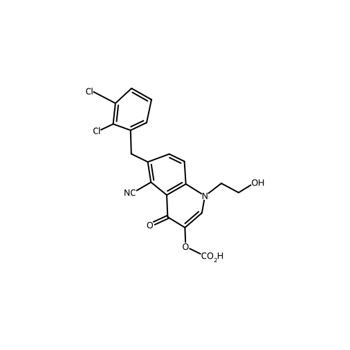 N#Cc1c(Cc2cccc(Cl)c2Cl)ccc2c1c(=O)c(OC(=O)O)cn2CCO